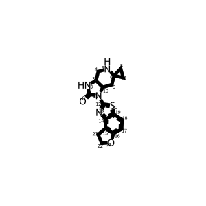 O=C1NC2CNC3(CC3)CC2N1c1nc2c3c(ccc2s1)OCC3